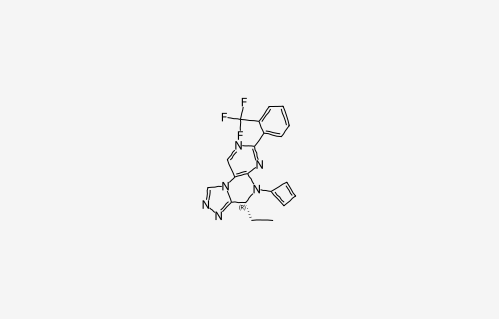 CC[C@@H]1c2nncn2-c2cnc(-c3ccccc3C(F)(F)F)nc2N1C1=CC=C1